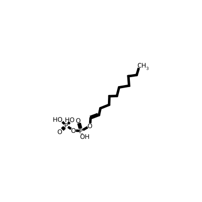 CCCCCCCCCC=COP(=O)(O)OP(=O)(O)O